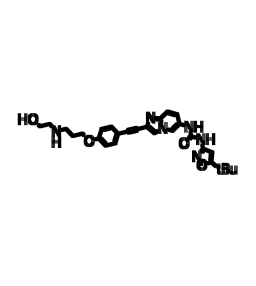 CC(C)(C)c1cc(NC(=O)Nc2ccc3nc(C#Cc4ccc(OCCCNCCO)cc4)cn3c2)no1